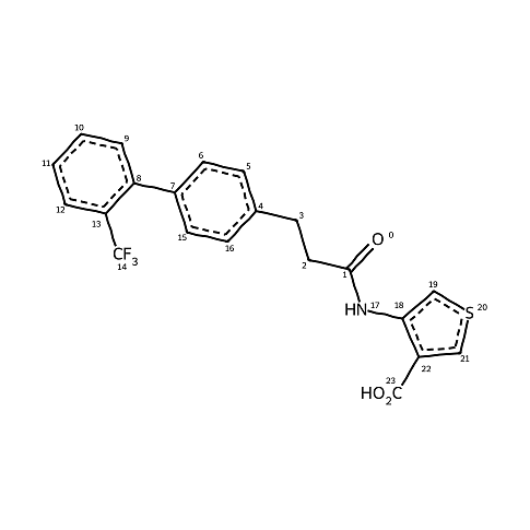 O=C(CCc1ccc(-c2ccccc2C(F)(F)F)cc1)Nc1cscc1C(=O)O